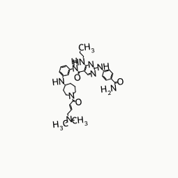 CCCNc1nc(Nc2ccc(C(N)=O)cc2)ncc1C(=O)Nc1cccc(NC2CCCN(C(=O)/C=C/CN(C)C)CC2)c1